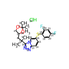 CC1(C)OCC(CC(C)(C)c2nnc3ccc(Sc4ccc(F)cc4F)cn23)O1.Cl